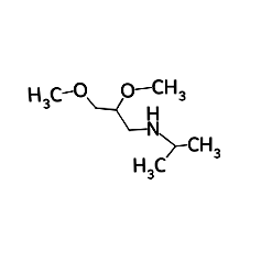 COCC(CNC(C)C)OC